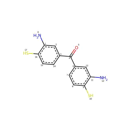 Nc1cc(C(=O)c2ccc(S)c(N)c2)ccc1S